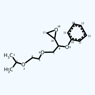 CC(C)OCCOCC(Oc1ccccc1)C1CO1